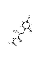 C=C(C)OC(=O)[C@@H](N)Cc1ccc(Br)cc1F